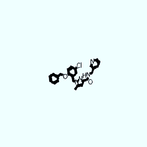 Cc1cc(C(=O)NCc2cccnc2)nn1Cc1cc(Cl)ccc1OCc1ccccc1